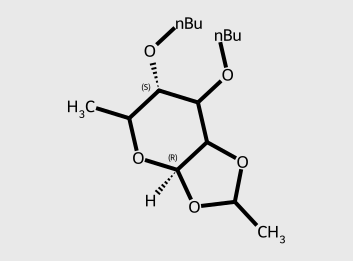 CCCCOC1C2OC(C)O[C@H]2OC(C)[C@@H]1OCCCC